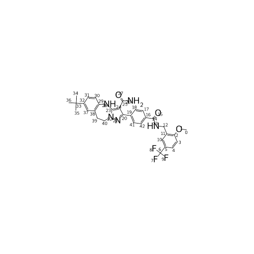 COc1ccc(C(F)(F)F)cc1CNC(=O)c1ccc(-c2nn3c(c2C(N)=O)Nc2ccc(C(C)(C)C)cc2CC3)cc1